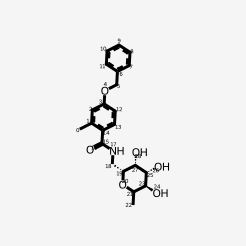 Cc1cc(OCc2ccccc2)ccc1C(=O)NC[C@H]1OC(C)[C@H](O)[C@@H](O)[C@H]1O